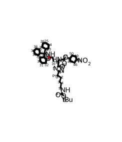 C[C@@H](CCCCNC(=O)OC(C)(C)C)c1noc([C@H](CCC(=O)NC(c2ccccc2)(c2ccccc2)c2ccccc2)NC(=O)Oc2ccc([N+](=O)[O-])cc2)n1